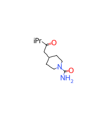 CC(C)C(=O)CC1CCN(C(N)=O)CC1